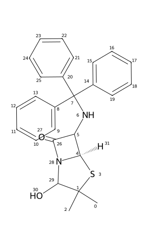 CC1(C)S[C@@H]2C(NC(c3ccccc3)(c3ccccc3)c3ccccc3)C(=O)N2C1O